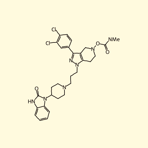 CNC(=O)ON1CCc2c(c(-c3ccc(Cl)c(Cl)c3)nn2CCCN2CCC(n3c(=O)[nH]c4ccccc43)CC2)C1